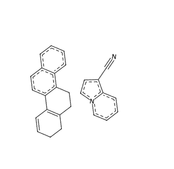 C1=CC2=C(CC1)CCc1c2ccc2ccccc12.N#Cc1ccn2ccccc12